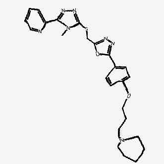 Cn1c(SCc2nnc(-c3ccc(OCCCN4CCCCC4)cc3)o2)nnc1-c1ccccn1